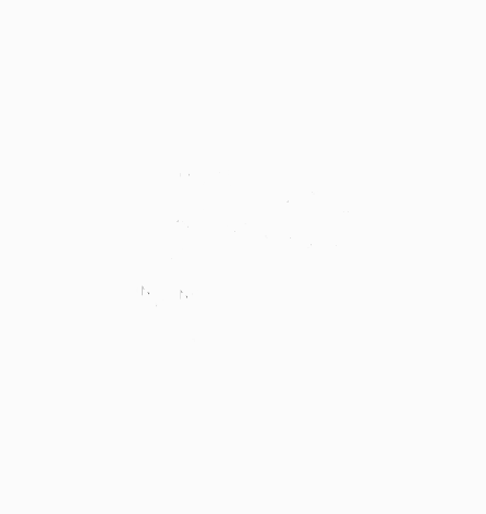 O=C(O)c1sc(-c2cnc3ccccn23)cc1OCc1ccccc1